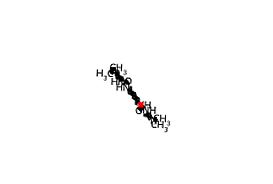 CN(C)CCCNC(=O)NCCCCCCNC(=O)NCCCN(C)C